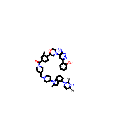 [2H]C1C=CN(c2cccc3c2cc(C)n3C2CCN(CC3CCN(C(=O)c4ccc(C5CN(c6cc(-c7ccccc7O)nnc6N)CCO5)c(C)c4)CC3)CC2)[C@@H]([2H])N1